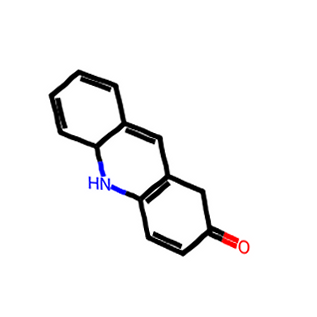 O=C1C=CC2=C(C=C3C=CC=CC3N2)C1